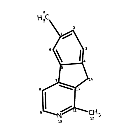 Cc1ccc2c(c1)-c1ccnc(C)c1C2